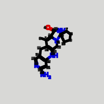 CC1=C2C(=O)NC3(CCCC3)N2CC2=C1Cc1cnc(N)cc1N2